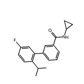 CC(C)c1ccc(F)cc1-c1cccc(C(=O)NC2CC2)c1